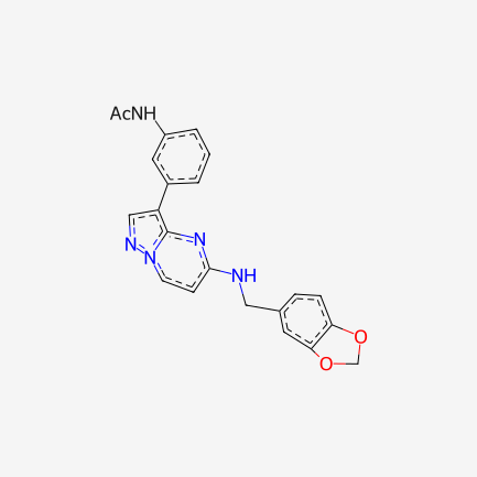 CC(=O)Nc1cccc(-c2cnn3ccc(NCc4ccc5c(c4)OCO5)nc23)c1